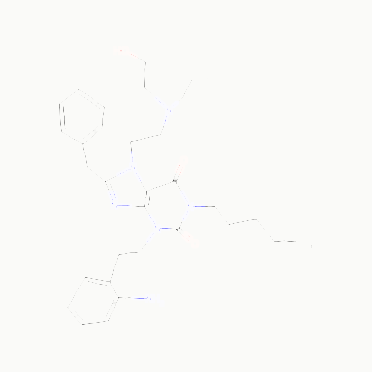 CCCCCn1c(=O)c2c(nc(Cc3ccccc3)n2CCN(CC)CCO)n(CCc2ccccc2N)c1=O